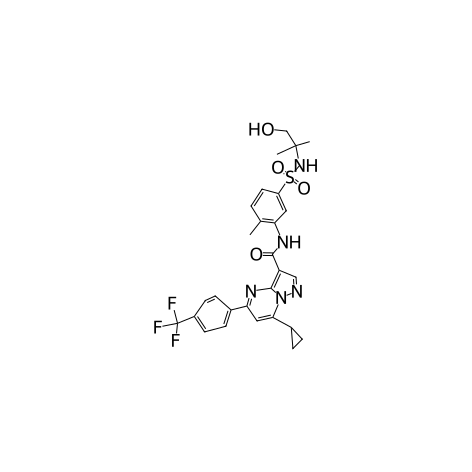 Cc1ccc(S(=O)(=O)NC(C)(C)CO)cc1NC(=O)c1cnn2c(C3CC3)cc(-c3ccc(C(F)(F)F)cc3)nc12